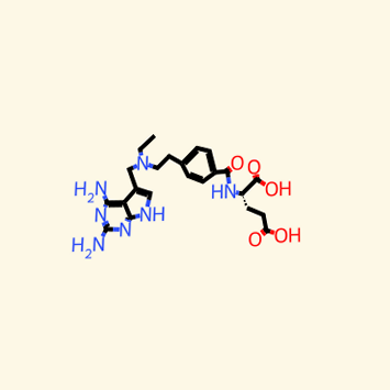 CCN(CCc1ccc(C(=O)N[C@@H](CCC(=O)O)C(=O)O)cc1)Cc1c[nH]c2nc(N)nc(N)c12